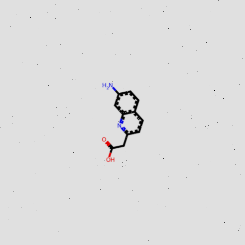 Nc1ccc2ccc(CC(=O)O)nc2c1